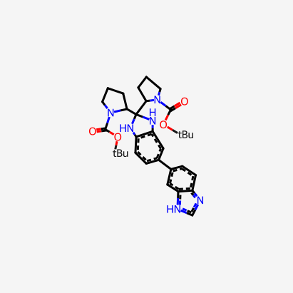 CC(C)(C)OC(=O)N1CCCC1C1(C2CCCN2C(=O)OC(C)(C)C)Nc2ccc(-c3ccc4nc[nH]c4c3)cc2N1